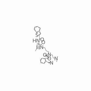 CC(C)C[C@H](NC(=O)c1cc2ccccc2s1)C(=O)NCCCN(CCN(C)C)S(=O)(=O)c1ccccc1C#N